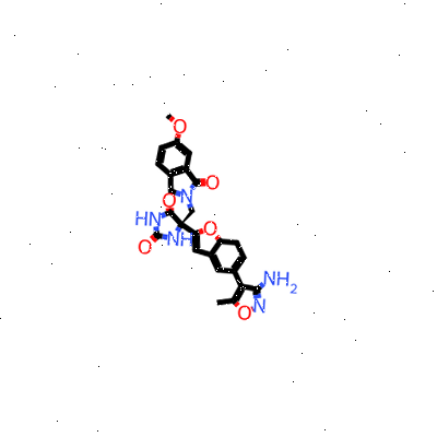 COc1ccc2c(c1)C(=O)N(C[C@@]1(C3=CC4=CC(c5c(N)noc5C)=CCC4O3)NC(=O)NC1=O)C2